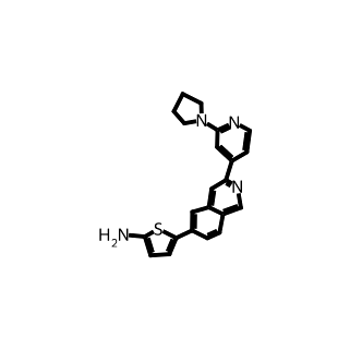 Nc1ccc(-c2ccc3cnc(-c4ccnc(N5CCCC5)c4)cc3c2)s1